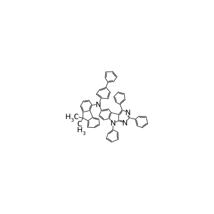 CC1(C)c2ccccc2-c2c(N(c3ccc(-c4ccccc4)cc3)c3ccc4c(c3)c3c(-c5ccccc5)nc(-c5ccccc5)nc3n4-c3ccccc3)cccc21